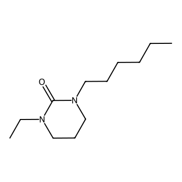 CCCCCCN1CCCN(CC)C1=O